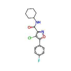 O=C(NC1CCCCC1)c1noc(-c2ccc(F)cc2)c1Cl